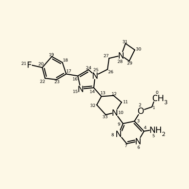 CCOc1c(N)ncnc1N1CCC(c2nc(-c3ccc(F)cc3)cn2CCN2CCC2)CC1